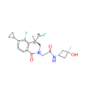 C[C@]1(O)C[C@H](NC(=O)CN2C[C@]3(C[C@H]3F)c3c(ccc(C4CC4)c3F)C2=O)C1